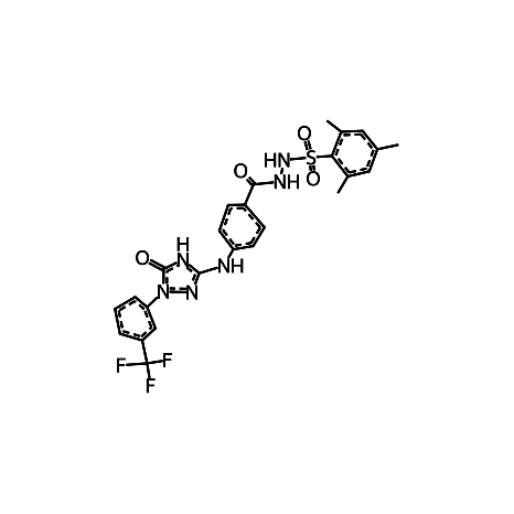 Cc1cc(C)c(S(=O)(=O)NNC(=O)c2ccc(Nc3nn(-c4cccc(C(F)(F)F)c4)c(=O)[nH]3)cc2)c(C)c1